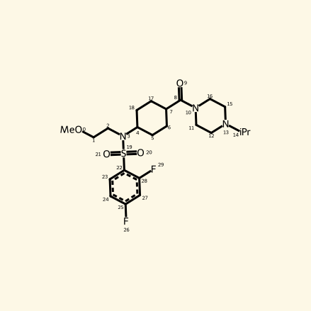 COCCN(C1CCC(C(=O)N2CCN(C(C)C)CC2)CC1)S(=O)(=O)c1ccc(F)cc1F